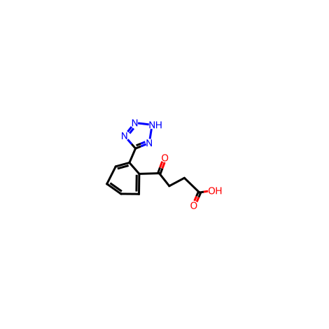 O=C(O)CCC(=O)c1ccccc1-c1nn[nH]n1